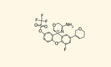 NC1=N[C@@]2(COC1)c1cc(OS(=O)(=O)C(F)(F)F)ccc1Oc1c(F)cc(C3=CCCOC3)cc12